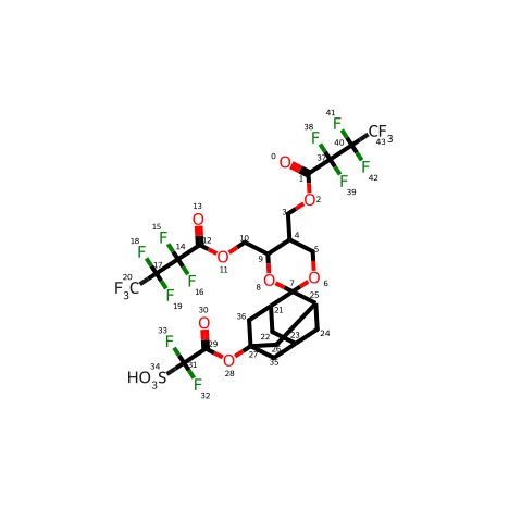 O=C(OCC1COC2(OC1COC(=O)C(F)(F)C(F)(F)C(F)(F)F)C1CC3CC2CC(OC(=O)C(F)(F)S(=O)(=O)O)(C3)C1)C(F)(F)C(F)(F)C(F)(F)F